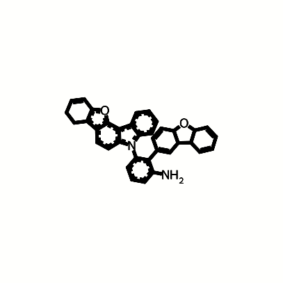 Nc1cccc(-n2c3ccccc3c3c4oc5c(c4ccc32)CCC=C5)c1C1=CC2C(C=C1)OC1C=CC=CC12